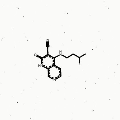 CC(F)CCNc1c(C#N)c(=O)[nH]c2cnccc12